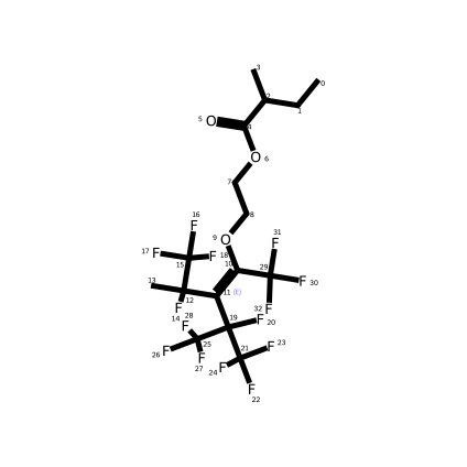 CCC(C)C(=O)OCCO/C(=C(\C(C)(F)C(F)(F)F)C(F)(C(F)(F)F)C(F)(F)F)C(F)(F)F